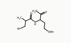 CSCCC(NC(=O)C(C)CC(C)C)C(N)=O